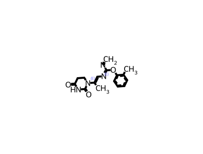 C=N/C(=N\C=C(/C)N1CCC(=O)NC1=O)Oc1ccccc1C